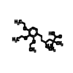 CCOc1ccc(CCC(CC)CC(C)(N)C(=O)O)c(OCC)c1OCC